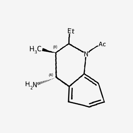 CCC1[C@H](C)[C@@H](N)c2ccccc2N1C(C)=O